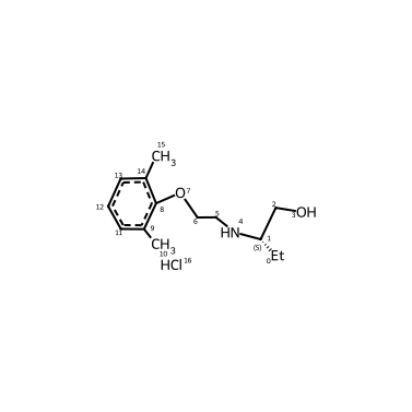 CC[C@@H](CO)NCCOc1c(C)cccc1C.Cl